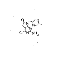 Cc1cnc(CN2C(=O)Cc3c(Cl)nc(N)nc32)cn1